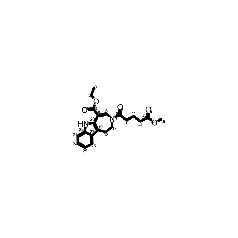 CCOC(=O)C1=CN(C(=O)CCCC(=O)OC)CCc2c1[nH]c1ccccc21